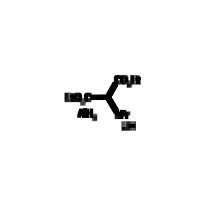 CCCC(C(=O)OCC)C(=O)OCC.[AlH3].[LiH]